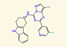 Fc1cncc(-c2nc(N[C@@H]3CCc4[nH]c5ccccc5c4C3)n3ncc(I)c3n2)c1